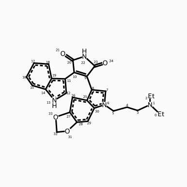 CCN(CC)CCCn1cc(C2=C(c3c[nH]c4ccccc34)C(=O)NC2=O)c2cc3c(cc21)OCO3